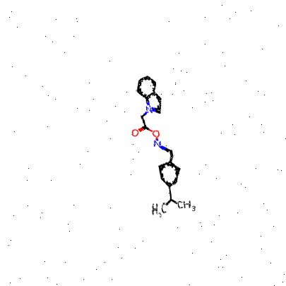 CC(C)c1ccc(C=NOC(=O)Cn2ccc3ccccc32)cc1